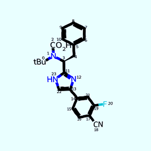 CC(C)(C)N(C(=O)O)[C@@H](Cc1ccccc1)c1nc(-c2ccc(C#N)c(F)c2)c[nH]1